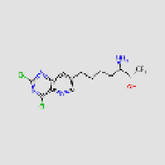 N[C@H](CCCCc1cnc2c(Cl)nc(Cl)nc2c1)[C@@H](O)C(F)(F)F